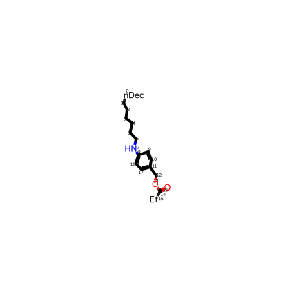 CCCCCCCCCCCCCCCCNc1ccc(COC(=O)CC)cc1